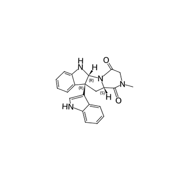 CN1CC(=O)N2[C@H]3Nc4ccccc4[C@@]3(c3c[nH]c4ccccc34)C[C@H]2C1=O